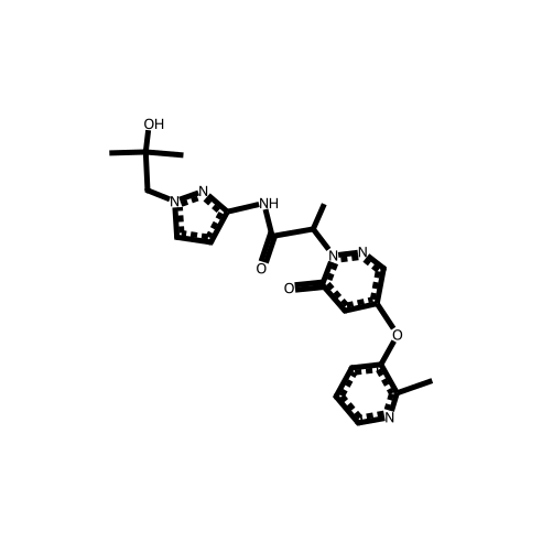 Cc1ncccc1Oc1cnn(C(C)C(=O)Nc2ccn(CC(C)(C)O)n2)c(=O)c1